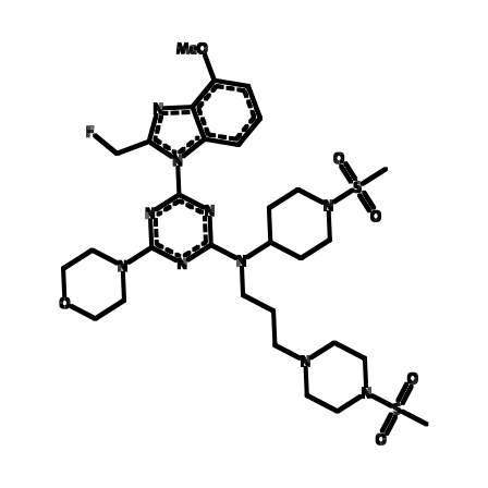 COc1cccc2c1nc(CF)n2-c1nc(N2CCOCC2)nc(N(CCCN2CCN(S(C)(=O)=O)CC2)C2CCN(S(C)(=O)=O)CC2)n1